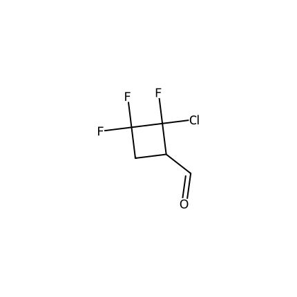 O=CC1CC(F)(F)C1(F)Cl